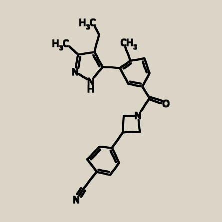 CCc1c(C)n[nH]c1-c1cc(C(=O)N2CC(c3ccc(C#N)cc3)C2)ccc1C